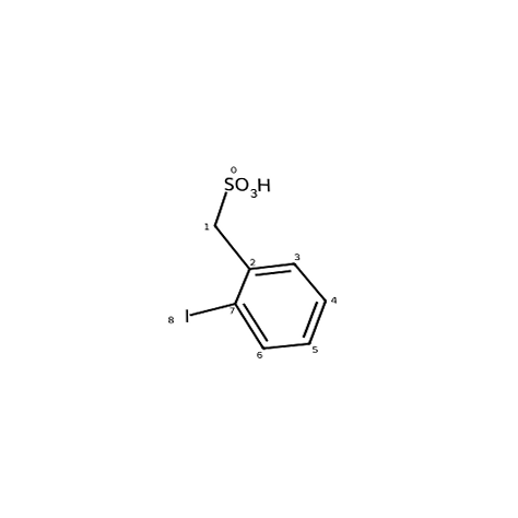 O=S(=O)(O)Cc1ccccc1I